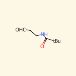 CC(C)(C)C(=O)NCCC=O